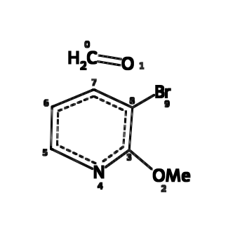 C=O.COc1ncccc1Br